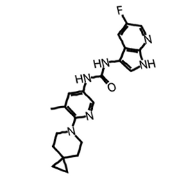 Cc1cc(NC(=O)Nc2c[nH]c3ncc(F)cc23)cnc1N1CCC2(CC1)CC2